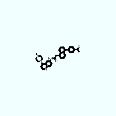 CC(=O)c1ccc(-c2cccc3c(CC(=O)Nc4ccc5nccc(N6CCN(C)CC6)c5c4)cccc23)cc1